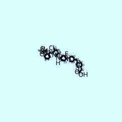 CN(c1ccccc1Nc1nc(Nc2ccc(N3CCC(CN4CCN(CC(=O)O)CC4)CC3)c(F)c2)ncc1Cl)S(C)(=O)=O